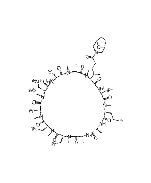 CC[C@@H]1NC(=O)[C@H]([C@H](O)[C@H](C)CC)N(C)C(=O)[C@H](C(C)C)N(C)C(=O)[C@H](CC(C)C)N(C)C(=O)[C@H](CC(C)C)N(C)C(=O)[C@@H](C)NC(=O)[C@H](C)NC(=O)[C@H](CCC(C)C)N(C)C(=O)[C@H](C(C)C)NC(=O)[C@H]([C@H](C)CCC(=O)N2CC3CCC(C2)O3)N(C)C(=O)[C@@H](C)N(C)C1=O